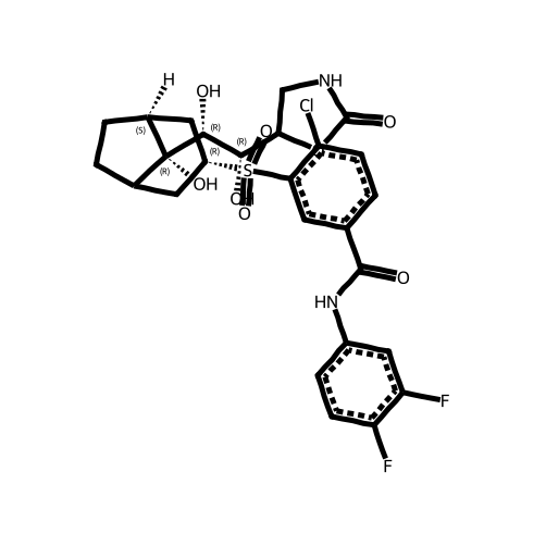 O=C1NCC([C@H](O)[C@@H](O)[C@@]2(O)C3CC[C@H]2C[C@H](S(=O)(=O)c2cc(C(=O)Nc4ccc(F)c(F)c4)ccc2Cl)C3)O1